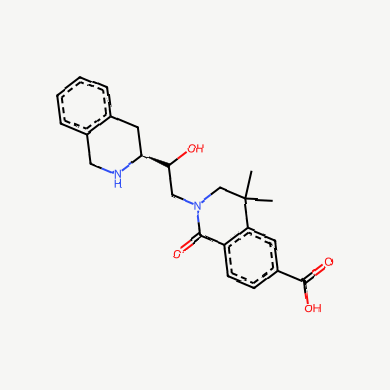 CC1(C)CN(CC(O)[C@@H]2Cc3ccccc3CN2)C(=O)c2ccc(C(=O)O)cc21